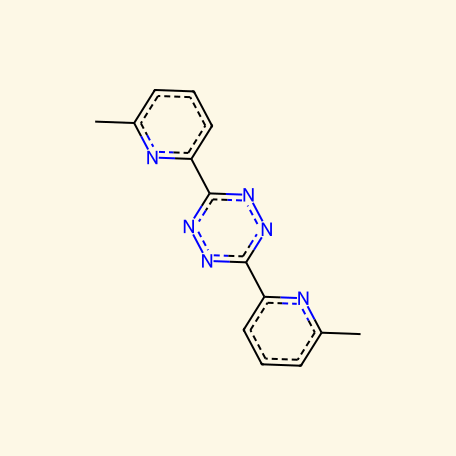 Cc1cccc(-c2nnc(-c3cccc(C)n3)nn2)n1